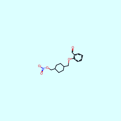 O=Cc1ccccc1OCC1CCC(CO[N+](=O)[O-])CC1